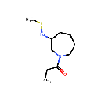 CCC(=O)N1CCCCC(NSC)C1